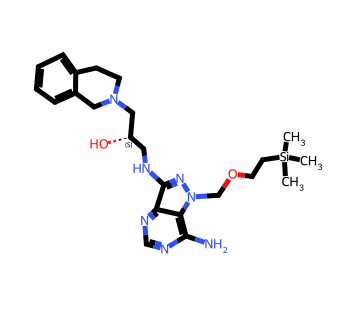 C[Si](C)(C)CCOCn1nc(NC[C@H](O)CN2CCc3ccccc3C2)c2ncnc(N)c21